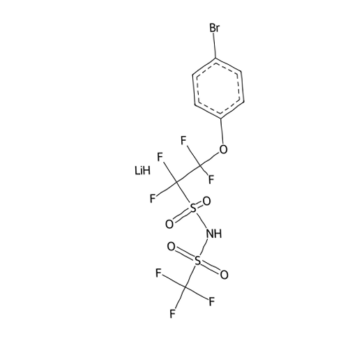 O=S(=O)(NS(=O)(=O)C(F)(F)C(F)(F)Oc1ccc(Br)cc1)C(F)(F)F.[LiH]